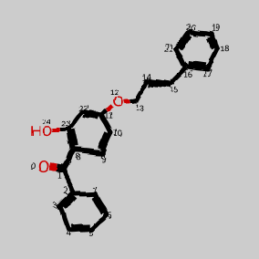 O=C(c1ccccc1)c1ccc(OCC=Cc2ccccc2)cc1O